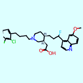 COc1ccc2nccc(C(F)CC[C@@H]3CCN(CCCCc4cccc(Cl)c4Cl)C[C@@H]3CC(=O)O)c2c1